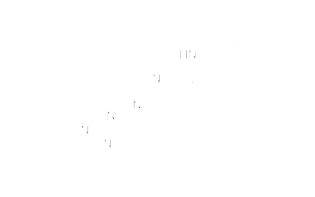 O=C(CN1CCN(c2ccn3c(n2)nc2ccccc23)CC1)NCC1CC2C=CC1C2